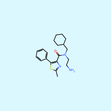 Cc1nc(C(=O)N(CCN)CC2CCCCC2)c(-c2ccccc2)s1